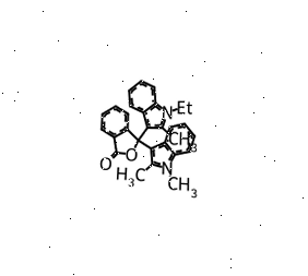 CCn1c(C)c(C2(c3c(C)n(C)c4ccccc34)OC(=O)c3ccccc32)c2ccccc21